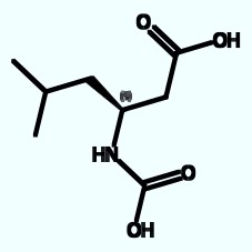 CC(C)C[C@@H](CC(=O)O)NC(=O)O